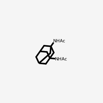 CC(=O)NC12CC3CC(C1)CC(NC(C)=O)(C3)C2